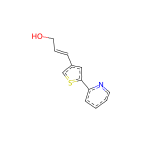 OC/C=C/c1csc(-c2ccccn2)c1